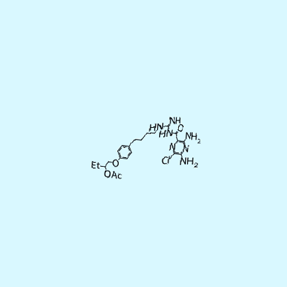 CCC(COc1ccc(CCCCNC(=N)NC(=O)c2nc(Cl)c(N)nc2N)cc1)OC(C)=O